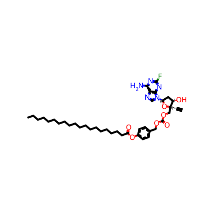 C#C[C@]1(COC(=O)OCc2ccc(OC(=O)CCCCCCCCCCCCCCCCCCC)cc2)O[C@@H](n2cnc3c(N)nc(F)nc32)C[C@@H]1O